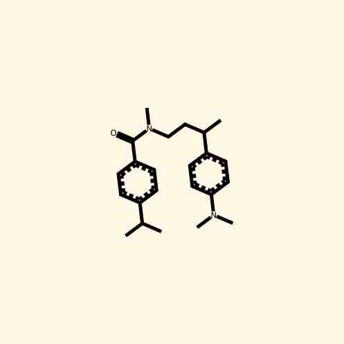 CC(C)c1ccc(C(=O)N(C)CCC(C)c2ccc(N(C)C)cc2)cc1